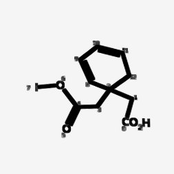 O=C(O)CC1(CC(=O)OI)C=CC=CC1